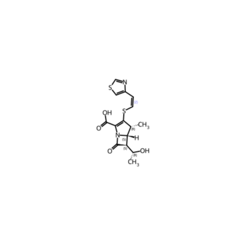 C[C@@H](O)[C@H]1C(=O)N2C(C(=O)O)=C(S/C=C\c3cscn3)[C@H](C)[C@H]12